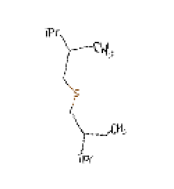 CC(C)C(C)CSCC(C)C(C)C